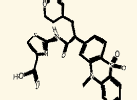 CN1c2ccccc2S(=O)(=O)c2ccc(C(CC3CCOCC3)C(=O)Nc3nc(C(=O)O)cs3)cc21